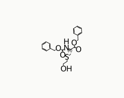 O=C(N[C@@H](CSCCO)C(=O)OCc1ccccc1)OCc1ccccc1